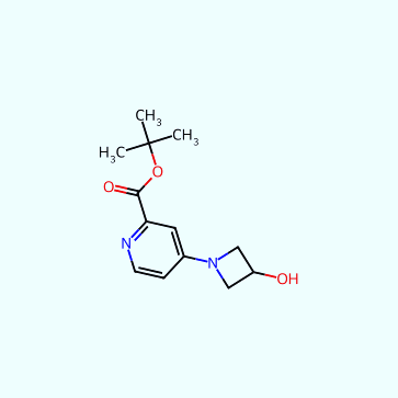 CC(C)(C)OC(=O)c1cc(N2CC(O)C2)ccn1